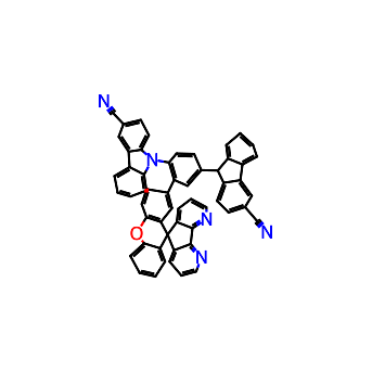 N#Cc1ccc2c(c1)-c1ccccc1C2c1ccc(-n2c3ccccc3c3cc(C#N)ccc32)c(-c2ccc3c(c2)C2(c4ccccc4O3)c3cccnc3-c3ncccc32)c1